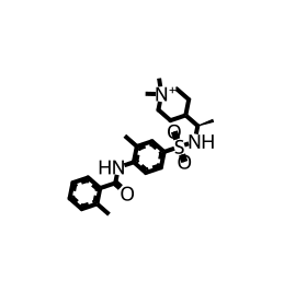 Cc1cc(S(=O)(=O)N[C@H](C)C2CC[N+](C)(C)CC2)ccc1NC(=O)c1ccccc1C